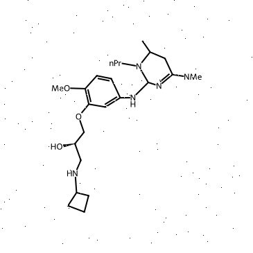 CCCN1C(C)CC(NC)=NC1Nc1ccc(OC)c(OC[C@H](O)CNC2CCC2)c1